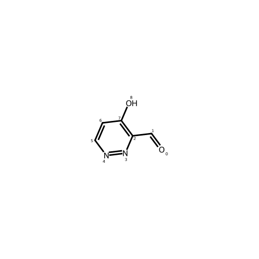 O=Cc1nnccc1O